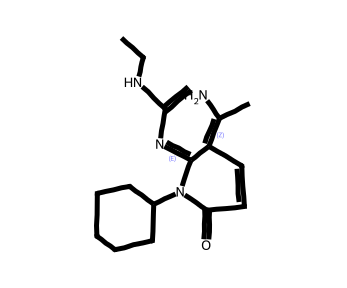 C=C(/N=C1\C(=C(\C)N)C=CC(=O)N1C1CCCCC1)NCC